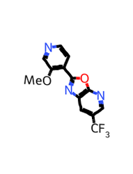 COc1cnccc1-c1nc2cc(C(F)(F)F)cnc2o1